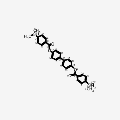 C[SiH](C)c1ccc(C(=O)Oc2ccc(-c3ccc(OC(=O)c4ccc([SiH](C)C)cc4)cc3)cc2)cc1